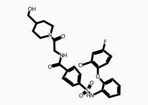 O=C(NCC(=O)N1CCC(CO)CC1)c1ccc(S(=O)(=O)Nc2ccccc2Oc2ccc(F)cc2Cl)cc1